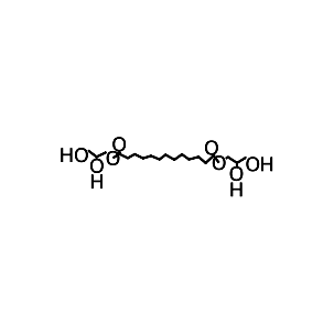 O=C(CCCCCCCCCCCC(=O)OCC(O)CO)OCC(O)CO